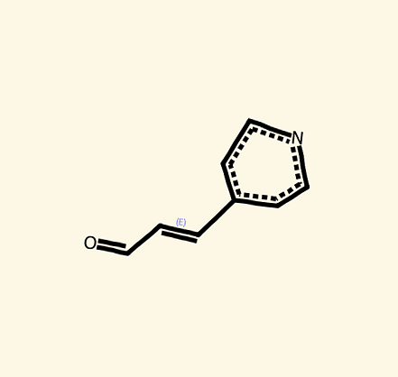 O=C/C=C/c1ccncc1